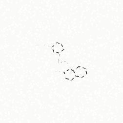 Cc1cccc(NCc2c(O)ccc3ccccc23)c1